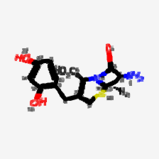 N[C@@H]1C(=O)N2C(C(=O)O)=C(Cc3ccc(O)cc3O)CS[C@H]12